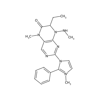 CCC1C(=O)N(C)c2cnc(-n3cc[n+](C)c3-c3ccccc3)nc2N1NC